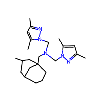 Cc1cc(C)n(CN(Cn2nc(C)cc2C)CC23CCCC(CC(C)C2)C3)n1